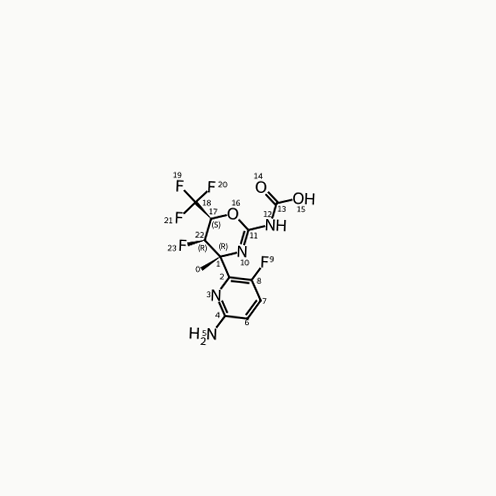 C[C@]1(c2nc(N)ccc2F)N=C(NC(=O)O)O[C@H](C(F)(F)F)[C@@H]1F